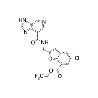 O=C(NCc1cc2cc(Cl)cc(C(=O)OCC(F)(F)F)c2o1)c1cncc2[nH]cnc12